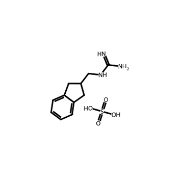 N=C(N)NCC1Cc2ccccc2C1.O=S(=O)(O)O